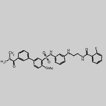 COc1ccc(-c2cccc(C(=O)N(C)C)c2)cc1S(=O)(=O)Nc1cccc(NCCNC(=O)c2ccccc2F)c1